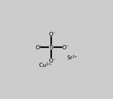 [Cu+2].[O-][Ti]([O-])([O-])[O-].[Sr+2]